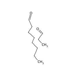 CCC=O.CCCCCCCC=O